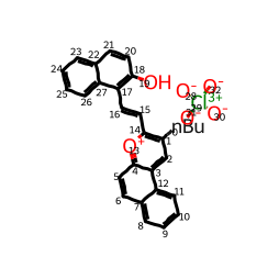 CCCCc1cc2c(ccc3ccccc32)[o+]c1C=Cc1c(O)ccc2ccccc12.[O-][Cl+3]([O-])([O-])[O-]